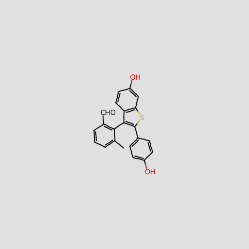 Cc1cccc(C=O)c1-c1c(-c2ccc(O)cc2)sc2cc(O)ccc12